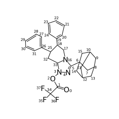 O=C(ON1N=C(C23CC4CC(CC(C4)C2)C3)N2CC(c3ccccc3)C(c3ccccc3)CC12)C(F)(F)F